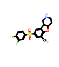 Cc1cc(S(=O)(=O)c2ccc(F)c(F)c2)cc2c1OC1CCNCC21